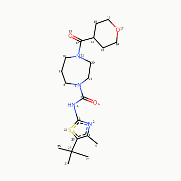 Cc1nc(NC(=O)N2CCCN(C(=O)C3CCOCC3)CC2)sc1C(C)(C)C